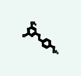 COc1ccc(COc2cc(C)nc(Cl)n2)cc1